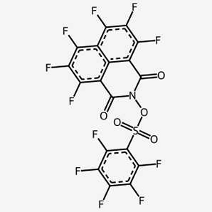 O=C1c2c(F)c(F)c(F)c3c(F)c(F)c(F)c(c23)C(=O)N1OS(=O)(=O)c1c(F)c(F)c(F)c(F)c1F